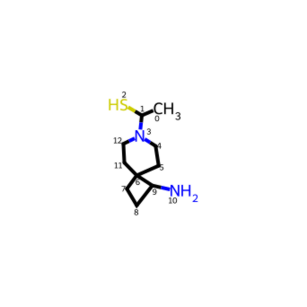 CC(S)N1CCC2(CCC2N)CC1